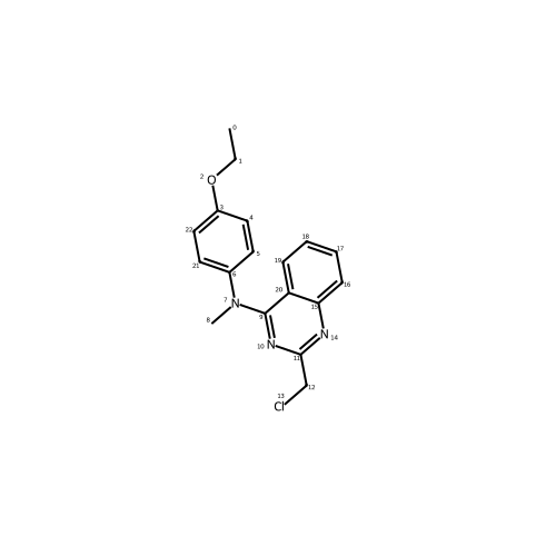 CCOc1ccc(N(C)c2nc(CCl)nc3ccccc23)cc1